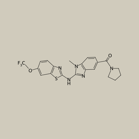 Cn1c(Nc2nc3ccc(OC(F)(F)F)cc3s2)nc2cc(C(=O)N3CCCC3)ccc21